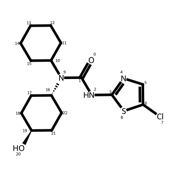 O=C(Nc1ncc(Cl)s1)N(C1CCCCC1)[C@H]1CC[C@H](O)CC1